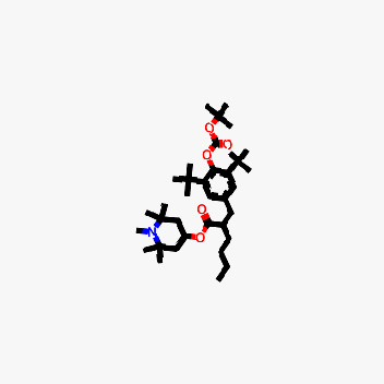 CCCCC(Cc1cc(C(C)(C)C)c(OC(=O)OC(C)(C)C)c(C(C)(C)C)c1)C(=O)OC1CC(C)(C)N(C)C(C)(C)C1